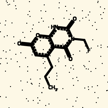 CCCc1cc(=O)oc2[nH]c(=O)n(CF)c(=O)c12